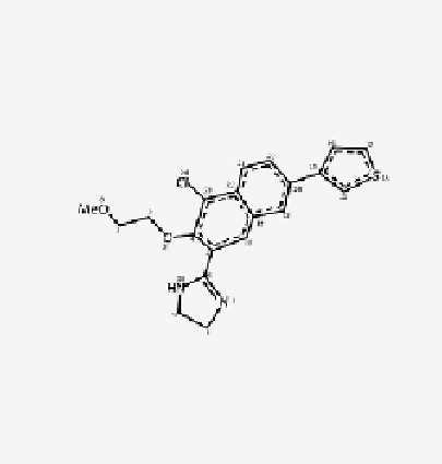 COCCOc1c(C2=NCCN2)cc2cc(-c3ccsc3)ccc2c1Cl